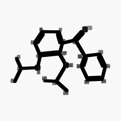 CC(C)Oc1cccc(C(=O)c2ccccc2)c1OC(C)C